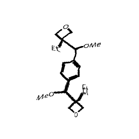 CCC1(C(OC)c2ccc(C(OC)C3(CC)COC3)cc2)COC1